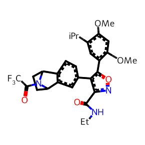 CCNC(=O)c1noc(-c2cc(C(C)C)c(OC)cc2OC)c1-c1ccc2c(c1)C1CCC2N1C(=O)C(F)(F)F